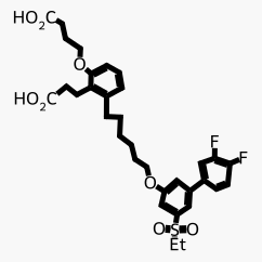 CCS(=O)(=O)c1cc(OCCCCCCc2cccc(OCCCC(=O)O)c2CCC(=O)O)cc(-c2ccc(F)c(F)c2)c1